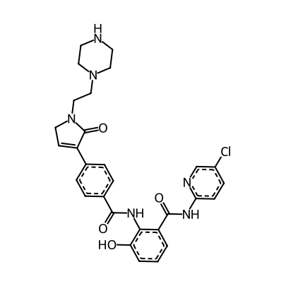 O=C(Nc1c(O)cccc1C(=O)Nc1ccc(Cl)cn1)c1ccc(C2=CCN(CCN3CCNCC3)C2=O)cc1